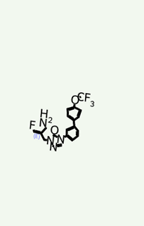 NC/C(=C\F)Cn1ncn(-c2cccc(-c3ccc(OC(F)(F)F)cc3)c2)c1=O